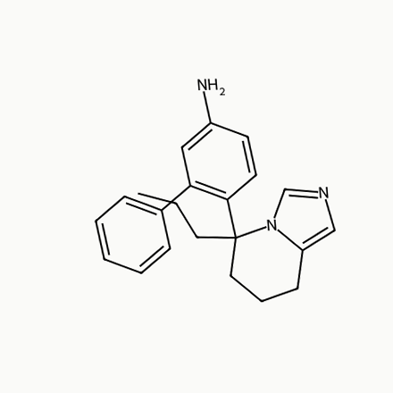 CCCC1(c2ccc(N)cc2-c2ccccc2)CCCc2cncn21